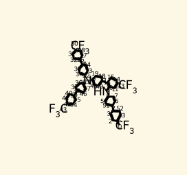 FC(F)(F)c1ccc(-c2ccc(Nc3cc(C(F)(F)F)ccc3-c3ccc(N(c4ccc(-c5ccc(C(F)(F)F)cc5)cc4)c4ccc(-c5ccc(C(F)(F)F)cc5)cc4)cc3)cc2)cc1